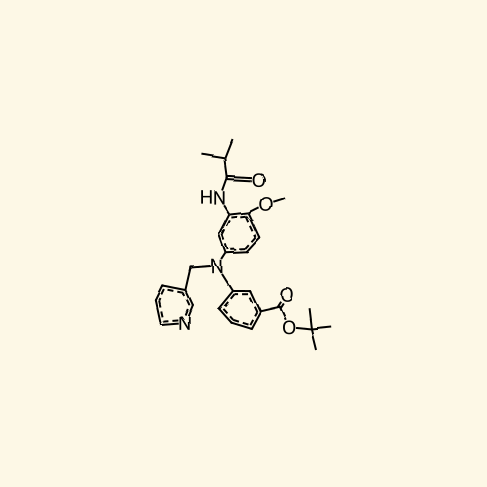 COc1ccc(N(Cc2cccnc2)c2cccc(C(=O)OC(C)(C)C)c2)cc1NC(=O)C(C)C